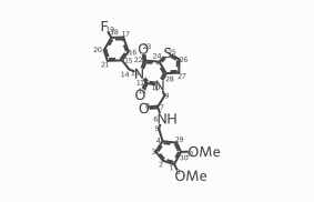 COc1ccc(CNC(=O)Cn2c(=O)n(Cc3ccc(F)cc3)c(=O)c3sccc32)cc1OC